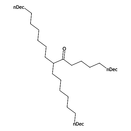 CCCCCCCCCCCCCCCCC(CCCCCCCCCCCCCCCC)C(=O)CCCCCCCCCCCCCC